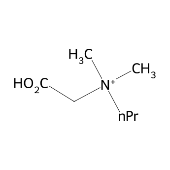 CCC[N+](C)(C)CC(=O)O